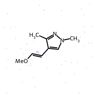 CO/C=C/c1cn(C)nc1C